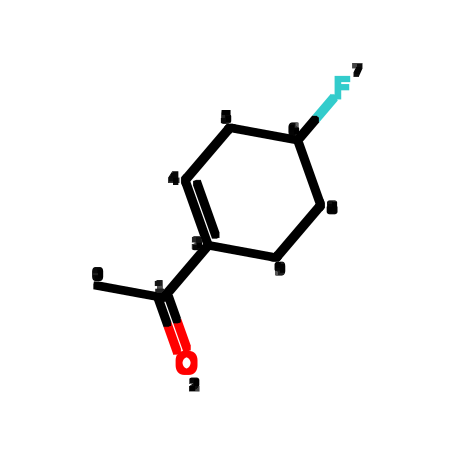 CC(=O)C1=CCC(F)CC1